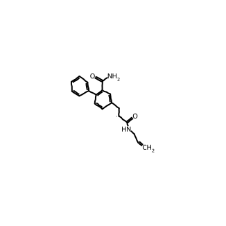 C=CCNC(=O)[CH]Cc1ccc(-c2ccccc2)c(C(N)=O)c1